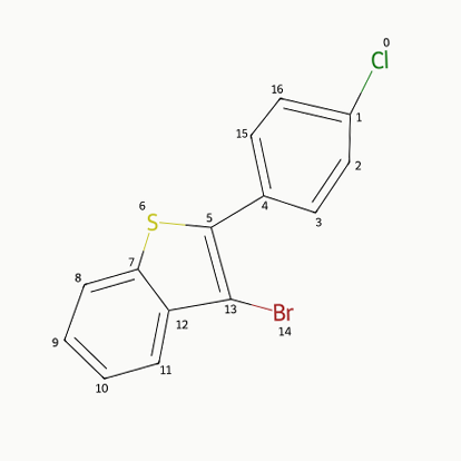 Clc1ccc(-c2sc3ccccc3c2Br)cc1